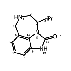 CC(C)C1CNCc2cccc3[nH]c(=O)n1c23